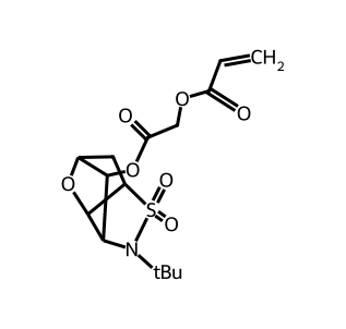 C=CC(=O)OCC(=O)OC1C2CC3C(O2)C1N(C(C)(C)C)S3(=O)=O